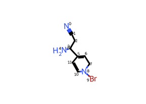 N#CC[C@H](N)C1=CCN(Br)C=C1